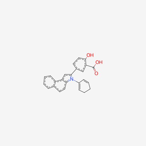 O=C(O)c1cc(-c2cc3c4ccccc4ccc3n2C2=CCCC=C2)ccc1O